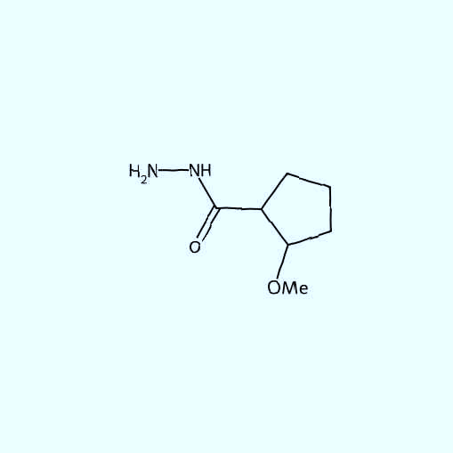 COC1CCCC1C(=O)NN